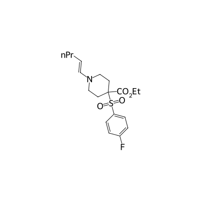 CCCC=CN1CCC(C(=O)OCC)(S(=O)(=O)c2ccc(F)cc2)CC1